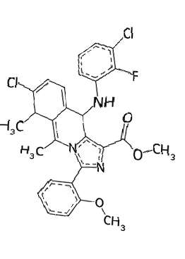 COC(=O)c1nc(-c2ccccc2OC)n2c1C(Nc1cccc(Cl)c1F)C1=CC=C(Cl)C(C)C1=C2C